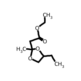 CCOC(=O)CC1(C)OCC(CC)O1